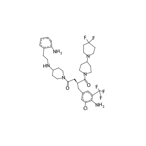 Nc1ccccc1CCNC1CCN(C(=O)C[C@H](Cc2cc(Cl)c(N)c(C(F)(F)F)c2)C(=O)N2CCC(N3CCC(F)(F)CC3)CC2)CC1